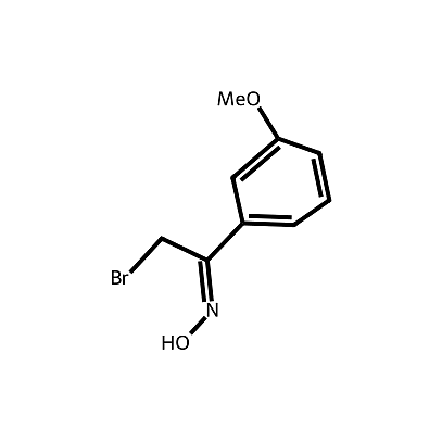 COc1cccc(C(CBr)=NO)c1